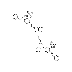 NS(=O)(=O)Nc1cc(CCN(CCCCCCN(CCc2ccc(OCc3ccccc3)c(NS(N)(=O)=O)c2)Cc2ccccc2)Cc2ccccc2)ccc1OCc1ccccc1